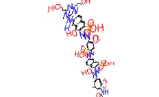 COC1=CC(N=Nc2c(S(=O)(=O)O)cc3cc(N=Nc4cc(OC)c(N=Nc5c(S(=O)(=O)O)cc6ccc(Nc7nc(CCO)nc(CCO)n7)cc6c5O)cc4S(=O)(=O)O)ccc3c2O)=CC(C)C=C1NC(C)=O